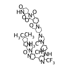 Cc1c(-c2cnc(C(F)(F)F)c(Nc3ccc(N4CCN(C5CCN6c7ccc8c(c7OCC6C5)C(=O)N(C5CCC(=O)NC5=O)C8=O)C[C@@H]4C)cn3)c2)ccnc1N1CCn2c(cc3c2CC(C)(C)C3)C1=O